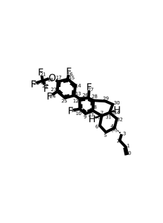 C=CCC[C@@H]1CC[C@@H]2c3cc(F)c(-c4cc(F)c(OC(F)(F)F)c(F)c4)c(F)c3CC[C@@H]2C1